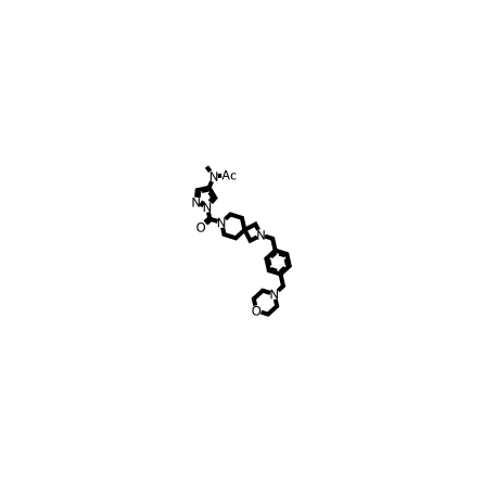 CC(=O)N(C)c1cnn(C(=O)N2CCC3(CC2)CN(Cc2ccc(CN4CCOCC4)cc2)C3)c1